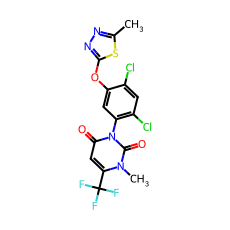 Cc1nnc(Oc2cc(-n3c(=O)cc(C(F)(F)F)n(C)c3=O)c(Cl)cc2Cl)s1